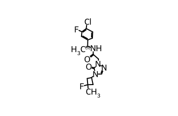 C[C@H](NC(=O)Cn1ncn(C2CC(C)(F)C2)c1=O)c1ccc(Cl)c(F)c1